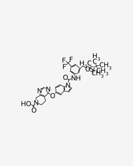 CC(C)(C)[Si](C)(C)OCc1cc(NC(=O)n2ccc3cc(Oc4ncnc5c4CCN(C(=O)O)C5)ccc32)cc(C(F)(F)F)c1